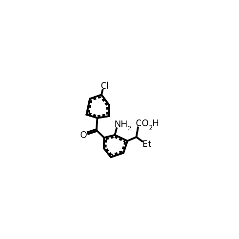 CCC(C(=O)O)c1cccc(C(=O)c2ccc(Cl)cc2)c1N